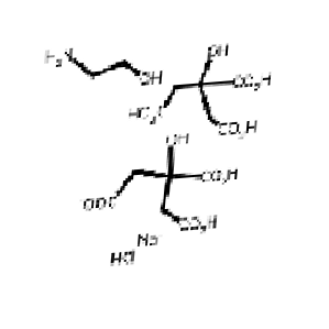 Cl.NCCO.O=C(O)CC(O)(CC(=O)O)C(=O)O.O=C([O-])CC(O)(CC(=O)O)C(=O)O.[Na+]